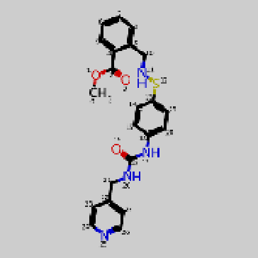 COC(=O)c1ccccc1CNSc1ccc(NC(=O)NCc2ccncc2)cc1